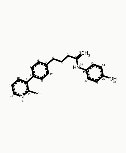 C=C(CCCc1ccc(-c2cccnc2F)cc1)Nc1ccc(O)cc1